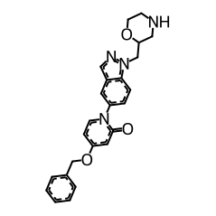 O=c1cc(OCc2ccccc2)ccn1-c1ccc2c(cnn2CC2CNCCO2)c1